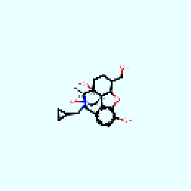 [O-][N+]1(CC2CC2)CC[C@]23c4c5ccc(O)c4OC2C(CO)CC[C@@]3(O)[C@H]1C5